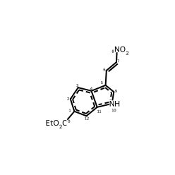 CCOC(=O)c1ccc2c(/C=C/[N+](=O)[O-])c[nH]c2c1